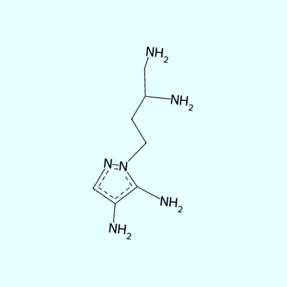 NCC(N)CCn1ncc(N)c1N